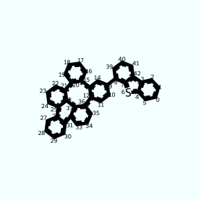 c1ccc2c(c1)sc1c(-c3ccc4c(c3)c3ccccc3c3cccc5c6ccccc6c6cccc4c6c35)cccc12